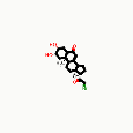 C[C@]12C[C@H](O)[C@H](O)CC1C(=O)C=C1C2CC[C@@]2(C)C1CC[C@@H]2C(=O)CBr